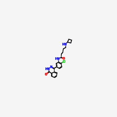 O=C(CCCCNC1CCC1)Nc1cc(-c2n[nH]c(=O)c3ccccc23)ccc1Cl